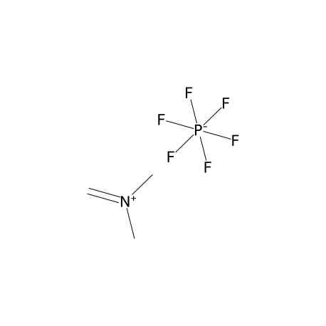 C=[N+](C)C.F[P-](F)(F)(F)(F)F